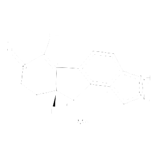 CC[C@@]12CCC(=O)C(C)=C1c1ccc3[nH]ncc3c1[C@@H]2OC